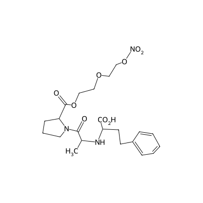 CC(NC(CCc1ccccc1)C(=O)O)C(=O)N1CCCC1C(=O)OCCOCCO[N+](=O)[O-]